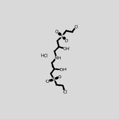 Cl.O=S(=O)(CCCl)CC(O)CNCC(O)CS(=O)(=O)CCCl